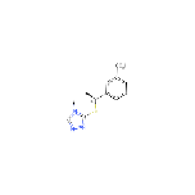 C[C@H](Sc1nncn1C)c1cccc(C(=O)O)c1